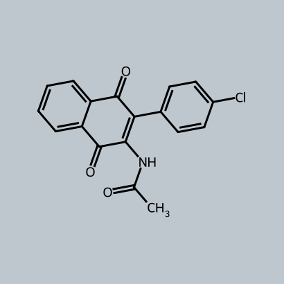 CC(=O)NC1=C(c2ccc(Cl)cc2)C(=O)c2ccccc2C1=O